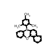 Cc1cc(C)c(N2c3ccccc3Oc3c2ccc2ccccc32)c(C)c1